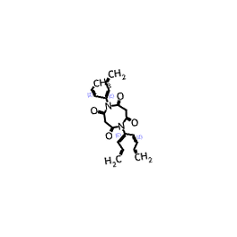 C=C/C=C\C(=C/C=C)N1C(=O)CC(=O)N(C(/C=C\C)=C/C=C)C(=O)CC1=O